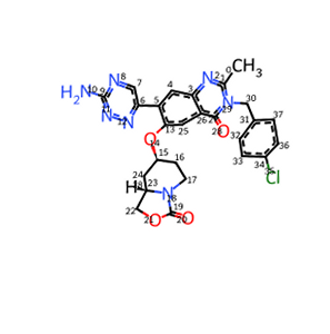 Cc1nc2cc(-c3cnc(N)nn3)c(O[C@H]3CCN4C(=O)OC[C@@H]4C3)cc2c(=O)n1Cc1ccc(Cl)cc1